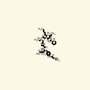 CCCCCCN(C(=O)[C@@H](NC(=O)[C@H]1CCCCN1)[C@@H](C)CC)[C@H](C[C@@H](OCC)c1nc(C(=O)N[C@@H](Cc2ccc(NC(=O)CNC)cc2)CC(C)(C)C(=O)O)cs1)C(C)C